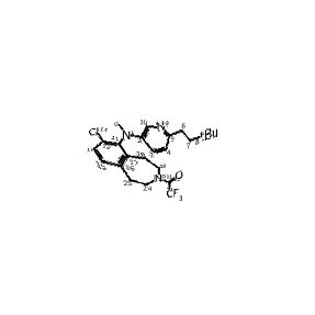 CN(c1ccc(CCC(C)(C)C)nc1)c1c(Cl)ccc2c1CCN(C(=O)C(F)(F)F)CC2